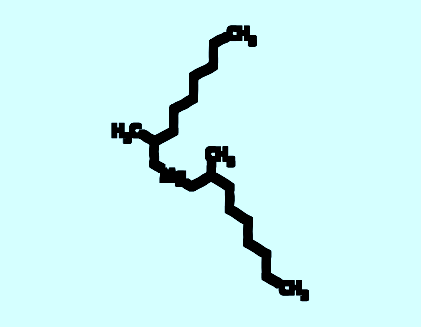 CCCCCCCC(C)[CH2][Mg][CH2]C(C)CCCCCCC